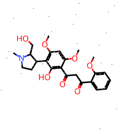 COc1ccccc1C(=O)CC(=O)c1c(OC)cc(OC)c(C2CCN(C)C2CO)c1O